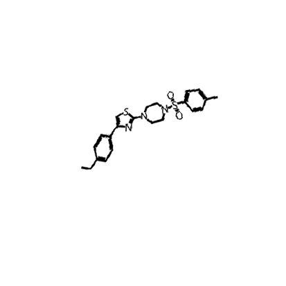 CCc1ccc(-c2csc(N3CCN(S(=O)(=O)c4ccc(C)cc4)CC3)n2)cc1